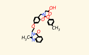 Cc1ccc(OC(=O)N(CC(=O)O)Cc2ccc(OCCn3c(C)nc4ccccc4c3=O)cc2)cc1